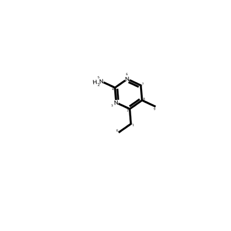 CCc1nc(N)ncc1C